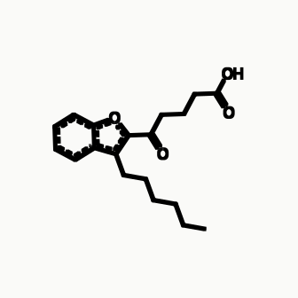 CCCCCCc1c(C(=O)CCCC(=O)O)oc2ccccc12